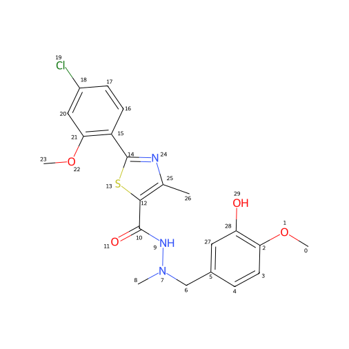 COc1ccc(CN(C)NC(=O)c2sc(-c3ccc(Cl)cc3OC)nc2C)cc1O